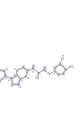 O=C(NCc1ccc(Cl)c(Cl)c1)Nc1ccc2c(c1)ncn2-c1cscn1